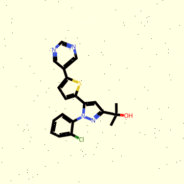 CC(C)(O)c1cc(-c2ccc(-c3cncnc3)s2)n(-c2ccccc2Cl)n1